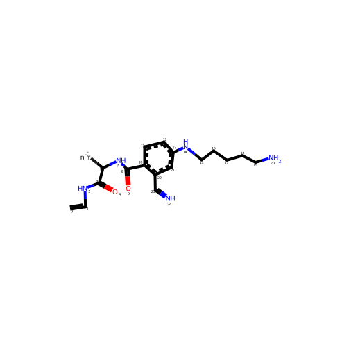 C=CNC(=O)C(CCC)NC(=O)c1ccc(NCCCCCN)cc1C=N